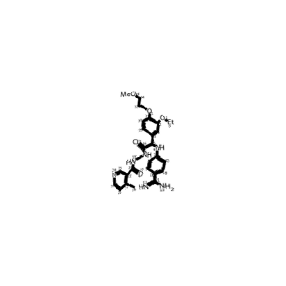 CCOc1cc(C(Nc2ccc(C(=N)N)cc2)C(=O)NNC(=O)c2cnccc2C)ccc1OCCOC